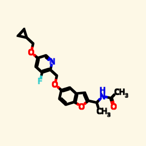 CC(=O)NC(C)c1cc2cc(OCc3ncc(OCC4CC4)cc3F)ccc2o1